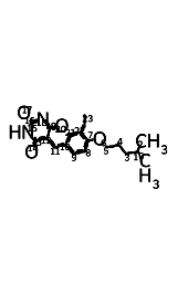 CC(C)CCCOc1ccc2cc3c(=O)[nH]c(=O)nc-3oc2c1I